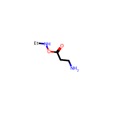 CCNOC(=O)CCN